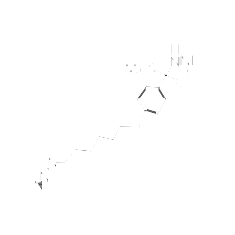 CSC1(c2ccc(OCCCCCCN=[N+]=[N-])cc2)NNCO1